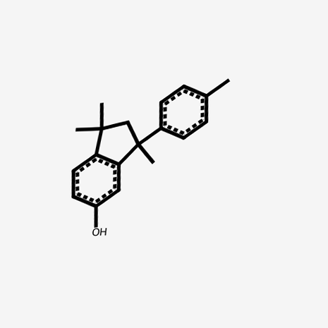 Cc1ccc(C2(C)CC(C)(C)c3ccc(O)cc32)cc1